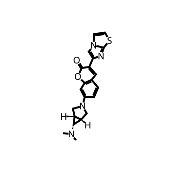 CN(C)[C@@H]1[C@@H]2CN(c3ccc4cc(-c5cn6ccsc6n5)c(=O)oc4c3)C[C@@H]21